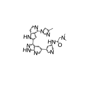 Cc1cn(-c2nccc3[nH]c(-c4n[nH]c5ncc(-c6cncc(NC(=O)CN(C)C)c6)cc45)cc23)cn1